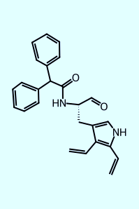 C=Cc1[nH]cc(C[C@@H](C=O)NC(=O)C(c2ccccc2)c2ccccc2)c1C=C